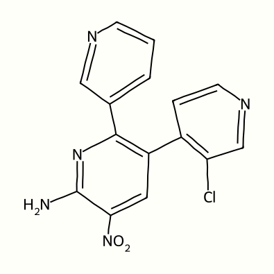 Nc1nc(-c2cccnc2)c(-c2ccncc2Cl)cc1[N+](=O)[O-]